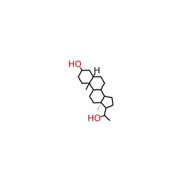 CC(O)C1CCC2C3CC[C@H]4CC(O)CCC4(C)C3CC[C@]12C